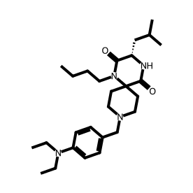 CCCCN1C(=O)[C@H](CC(C)C)NC(=O)C12CCN(Cc1ccc(N(CC)CC)cc1)CC2